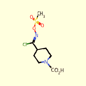 CS(=O)(=O)O/N=C(\Cl)C1CCN(C(=O)O)CC1